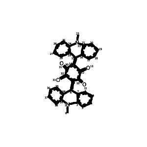 CN1c2ccccc2C(=c2c(=O)c(=O)c(=C3c4ccccc4N(C)c4ccccc43)c(=O)c2=O)c2ccccc21